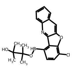 CC(C)(O)C(C)(C)OBc1ccc(Cl)c2oc3cc4ccccc4nc3c12